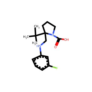 CC(C)(C)C1(CNc2cccc(F)c2)CCCN1C(=O)O